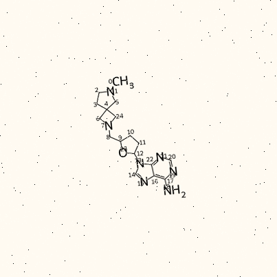 CN1CCC2(C1)CN(CC1CCC(n3cnc4c(N)ncnc43)O1)C2